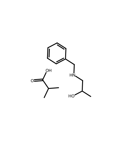 CC(C)C(=O)O.CC(O)CNCc1ccccc1